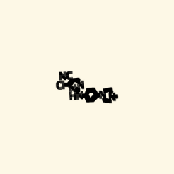 CN1CCN(c2ccc(Nc3ncc(C#N)c(Cl)n3)cc2)CC1